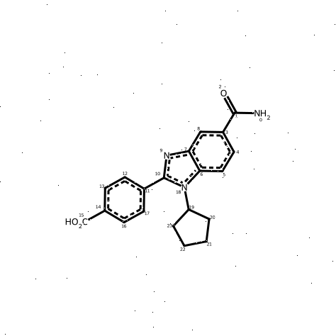 NC(=O)c1ccc2c(c1)nc(-c1ccc(C(=O)O)cc1)n2C1CCCC1